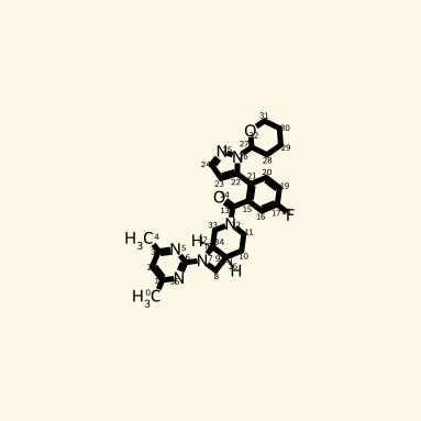 Cc1cc(C)nc(N2C[C@@H]3CCN(C(=O)c4cc(F)ccc4-c4ccnn4C4CCCCO4)C[C@@H]32)n1